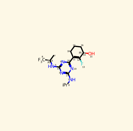 CC(C)Nc1nc(N[C@H](C)C(F)(F)F)nc(C2=C(F)[C@H](O)CCC2)n1